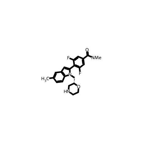 CNC(=O)c1cc(F)c(-c2cc3cc(C)ccc3n2C[C@H]2CNCCO2)c(F)c1